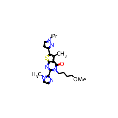 COCCCCn1c(-c2nccn2C)nc2sc(-c3ccn(C(C)C)n3)c(C)c2c1=O